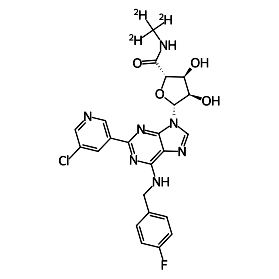 [2H]C([2H])([2H])NC(=O)[C@H]1O[C@@H](n2cnc3c(NCc4ccc(F)cc4)nc(-c4cncc(Cl)c4)nc32)[C@H](O)[C@@H]1O